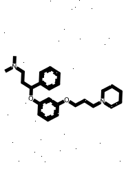 CN(C)CCC(Oc1cccc(OCCCN2CCCCC2)c1)c1ccccc1